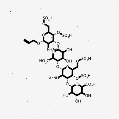 C=CCO[C@@H]1OC(COS(=O)(=O)O)[C@H](OS(=O)(=O)O)[C@H](O[C@@H]2OC(C(=O)O)[C@@H](O[C@@H]3OC(COS(=O)(=O)O)[C@H](OS(=O)(=O)O)[C@H](O[C@@H]4OC(C(=O)O)C(O)[C@H](O)C4O)C3NC(C)=O)[C@H](O)C2O)C1NC(C)=O